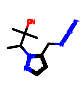 CC(n1nccc1CN=[N+]=[N-])C(C)(C)O